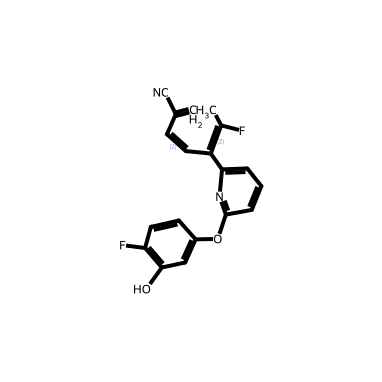 C=C(C#N)/C=C\C(=C(/C)F)c1cccc(Oc2ccc(F)c(O)c2)n1